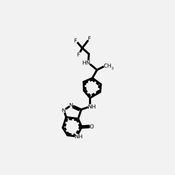 CC(NCC(F)(F)F)c1ccc(NC2=N[N]c3cc[nH]c(=O)c32)cc1